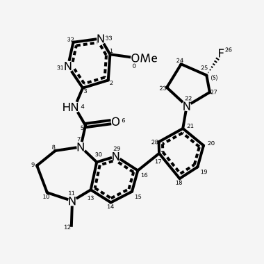 COc1cc(NC(=O)N2CCCN(C)c3ccc(-c4cccc(N5CC[C@H](F)C5)c4)nc32)ncn1